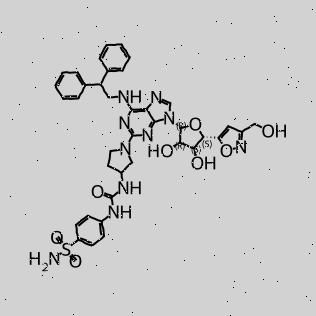 NS(=O)(=O)c1ccc(NC(=O)NC2CCN(c3nc(NCC(c4ccccc4)c4ccccc4)c4ncn([C@@H]5O[C@H](c6cc(CO)no6)[C@@H](O)[C@H]5O)c4n3)C2)cc1